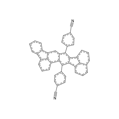 N#Cc1ccc(-c2c3cc4c5ccccc5c5cccc(c3c(-c3ccc(C#N)cc3)c3c6cccc7cccc(c23)c76)c54)cc1